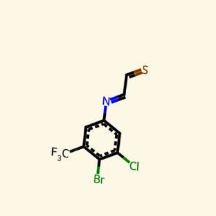 FC(F)(F)c1cc(N=CC=S)cc(Cl)c1Br